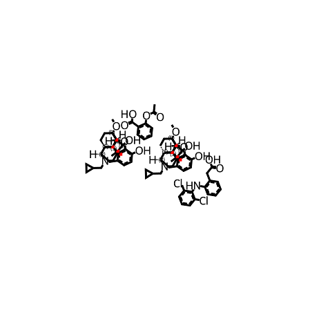 CC(=O)Oc1ccccc1C(=O)O.CO[C@]12CC[C@@]3(C[C@@H]1[C@](C)(O)C(C)(C)C)[C@H]1Cc4ccc(O)c5c4[C@@]3(CCN1CC1CC1)[C@H]2O5.CO[C@]12CC[C@@]3(C[C@@H]1[C@](C)(O)C(C)(C)C)[C@H]1Cc4ccc(O)c5c4[C@@]3(CCN1CC1CC1)[C@H]2O5.O=C(O)Cc1ccccc1Nc1c(Cl)cccc1Cl